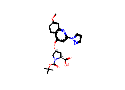 COC1=Cc2nc(-n3cccn3)cc(O[C@@H]3C[C@@H](C(=O)O)N(C(=O)OC(C)(C)C)C3)c2CC1